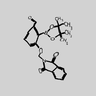 CC1(C)OB(c2c(C=O)cccc2OCN2C(=O)c3ccccc3C2=O)OC1(C)C